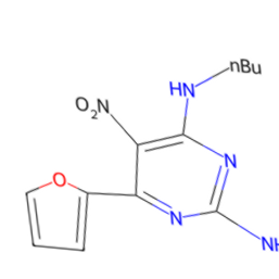 CCCCNc1nc(N)nc(-c2ccco2)c1[N+](=O)[O-]